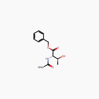 CCCCCCC(=O)N[C@H](C(=O)OCc1ccccc1)[C@H](C)O